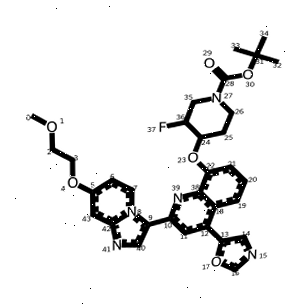 COCCOc1ccn2c(-c3cc(-c4cnco4)c4cccc(OC5CCN(C(=O)OC(C)(C)C)CC5F)c4n3)cnc2c1